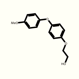 COc1ccc(Oc2ccc(OCCO)cc2)cc1